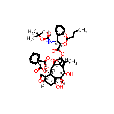 CCCC(=O)O[C@@H](C(=O)O[C@H]1C[C@@]2(O)[C@@H](OC(=O)c3ccccc3)[C@@H]3[C@]4(OC(C)=O)CO[C@@H]4C[C@H](O)[C@@]3(C)C(=O)[C@H](O)C(=C1C)C2(C)C)[C@@H](NC(=O)OC(C)(C)C)c1ccccc1